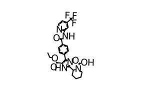 CCOC(=O)c1[nH]c(C2CCCCN2C(=O)O)nc1-c1ccc(C(=O)Nc2cc(C(F)(F)F)ccn2)cc1